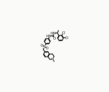 CC(NC(=O)Nc1ccc(S(=O)(=O)Cc2ccc3c(c2)CCN(C)C3)cc1)c1cccc(Cl)c1Cl